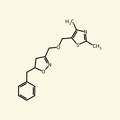 Cc1nc(C)c(COCC2=NOC(Cc3ccccc3)C2)s1